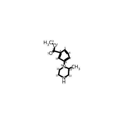 COC(=O)c1cccc(N2CCNCC2C)c1